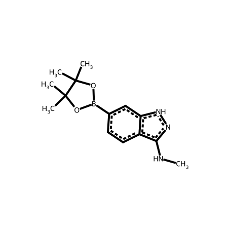 CNc1n[nH]c2cc(B3OC(C)(C)C(C)(C)O3)ccc12